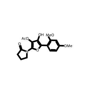 COc1ccc(-c2oc(N3CCCC3=O)c(OC(C)=O)c2O)c(OC)c1